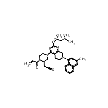 C=CC(=O)N1CCN(c2nc(O[C@H](C)CN(C)C)nc3c2CCN(c2cc(C)cc4ccccc24)C3)CC1CC#N